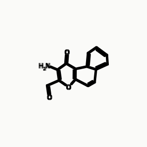 Nc1c(C=O)oc2ccc3ccccc3c2c1=O